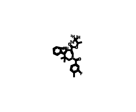 [2H]C([2H])([2H])C(C)OC(=O)C1=CN(C(=O)c2ccc(C)c(F)c2)CC(C)(C)c2c1[nH]c1ccccc21